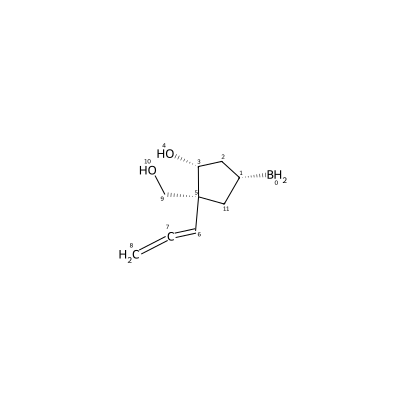 B[C@H]1C[C@@H](O)[C@@](C=C=C)(CO)C1